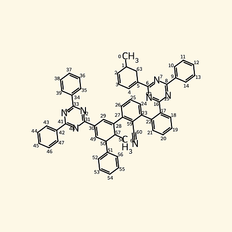 CC1C=CC=C(c2nc(-c3ccccc3)nc(-c3ccccc3-c3cccc(C4=CC(c5nc(-c6ccccc6)nc(-c6ccccc6)n5)=CC(c5ccccc5)C4C)c3C#N)n2)C1